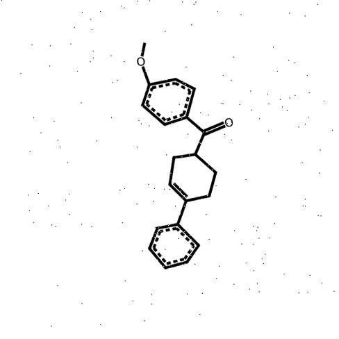 COc1ccc(C(=O)C2CC=C(c3ccccc3)CC2)cc1